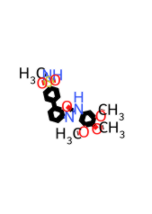 CNS(=O)(=O)c1ccc(-c2cccc3nc(Nc4cc(OC)c(OC)c(OC)c4)oc23)cc1